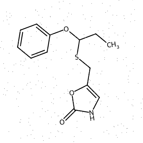 CCC(Oc1ccccc1)SCc1c[nH]c(=O)o1